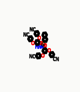 N#Cc1ccc(Oc2cc(NN(c3cc(Oc4ccc(C#N)cc4)cc(Oc4ccc(C#N)cc4)c3)S(=O)(=O)c3ccc4ccccc4c3)cc(Oc3ccc(C#N)cc3)c2)cc1